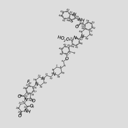 Cc1c(OCCC2CCN(CCN3CCN(c4cc5c(cc4F)C(=O)N(C4CCC(=O)NC4=O)C5=O)CC3)CC2)cccc1-c1ccc(N2CCc3cccc(C(=O)Nc4nc5ccccc5s4)c3C2)nc1C(=O)O